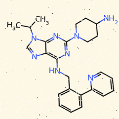 CC(C)n1cnc2c(NCc3ccccc3-c3ccccn3)nc(N3CCC(N)CC3)nc21